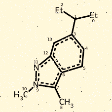 CCC(CC)c1ccc2c(C)n(C)nc2c1